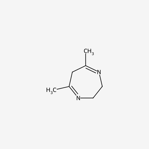 CC1=NCCN=C(C)C1